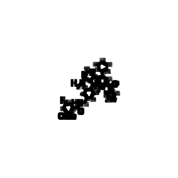 COc1ccc(F)cc1C(=O)NCc1ccc(-c2nn(C(CN(C)C(=O)n3cncn3)c3ccccc3)c3ncnc(N)c23)cc1